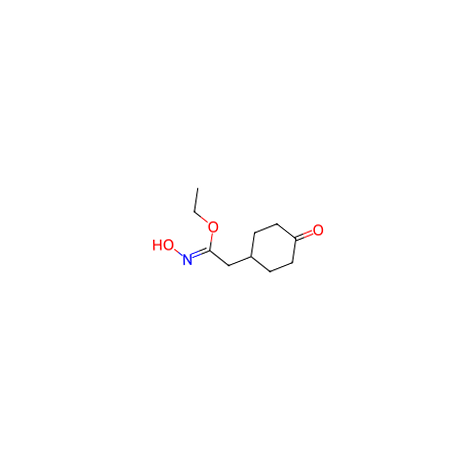 CCOC(CC1CCC(=O)CC1)=NO